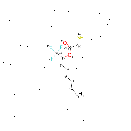 CCCCCCC(OC(=O)CS)C(F)(F)F